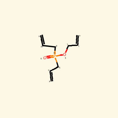 C=CCOP(=O)(CC=C)CC=C